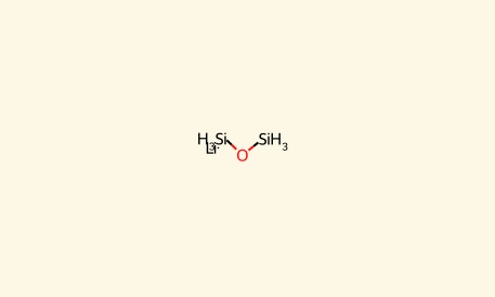 [Li].[SiH3]O[SiH3]